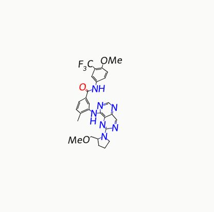 COCC1CCCN1c1ncc2ncnc(Nc3cc(C(=O)Nc4ccc(OC)c(C(F)(F)F)c4)ccc3C)c2n1